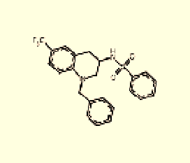 O=S(=O)(NC1Cc2cc(C(F)(F)F)ccc2N(Cc2ccccc2)C1)c1ccccc1